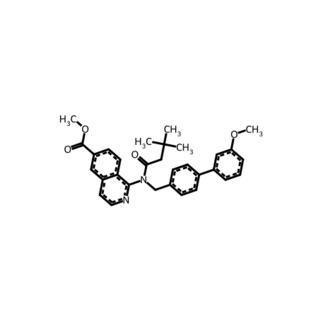 COC(=O)c1ccc2c(N(Cc3ccc(-c4cccc(OC)c4)cc3)C(=O)CC(C)(C)C)nccc2c1